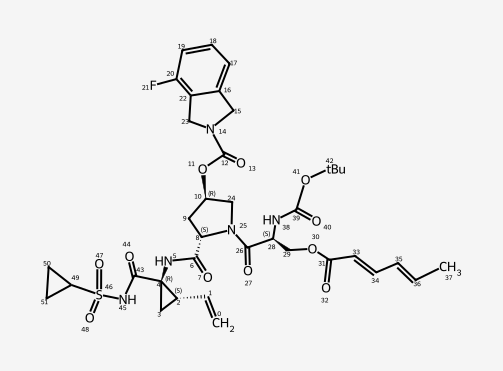 C=C[C@@H]1C[C@]1(NC(=O)[C@@H]1C[C@@H](OC(=O)N2Cc3cccc(F)c3C2)CN1C(=O)[C@H](COC(=O)C=CC=CC)NC(=O)OC(C)(C)C)C(=O)NS(=O)(=O)C1CC1